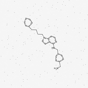 NCc1ccc(CNc2nccc3c2ccn3CCCCc2ccccc2)cc1